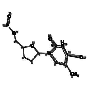 Cc1cn(C2CCC(COP=O)O2)c(=O)[nH]c1=O